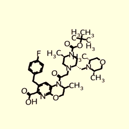 CC1COc2nc(C(=O)O)c(Cc3ccc(F)cc3)cc2N1C(=O)CN1C[C@@H](C)N(C(=O)OC(C)(C)C)C[C@@H]1CN1[C@H](C)COC[C@H]1C